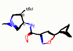 CN1C[C@H](NC(=O)c2cc(C3CC3)on2)[C@H](C(C)(C)C)C1